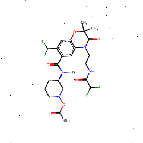 CC(C)N(C(=O)c1cc2c(cc1C(F)F)OC(C)(C)C(=O)N2CCNC(=O)C(F)F)[C@@H]1CCCN(OC(=O)C(C)(C)C)C1